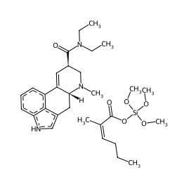 CCCC=C(C)C(=O)O[Si](OC)(OC)OC.CCN(CC)C(=O)[C@@H]1C=C2c3cccc4[nH]cc(c34)C[C@H]2N(C)C1